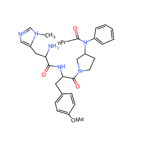 CCCC(=O)N(c1ccccc1)C1CCN(C(=O)C(Cc2ccc(OC)cc2)NC(=O)C(N)Cc2cncn2C)C1